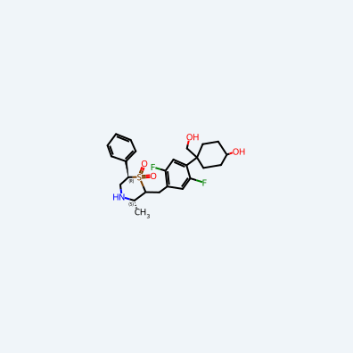 C[C@@H]1NC[C@@H](c2ccccc2)S(=O)(=O)C1Cc1cc(F)c(C2(CO)CCC(O)CC2)cc1F